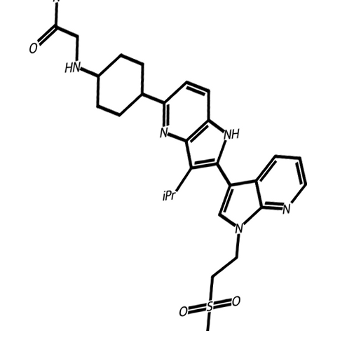 CC(C)c1c(-c2cn(CCS(C)(=O)=O)c3ncccc23)[nH]c2ccc(C3CCC(NCC(=O)N(C)C)CC3)nc12